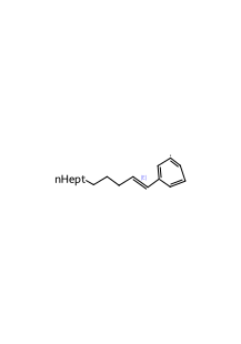 CCCCCCCCCC/C=C/c1c[c]ccc1